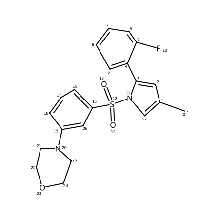 [CH2]c1cc(-c2ccccc2F)n(S(=O)(=O)c2cccc(N3CCOCC3)c2)c1